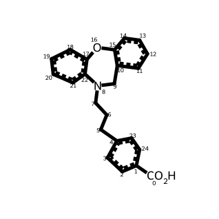 O=C(O)c1ccc(CCCN2Cc3ccccc3Oc3ccccc32)cc1